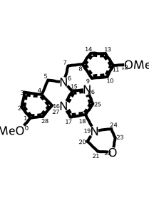 COc1ccc(CN(Cc2ccc(OC)cc2)c2ncc(N3CCOCC3)cn2)cc1